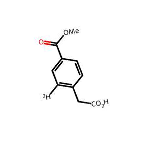 [2H]c1cc(C(=O)OC)ccc1CC(=O)O